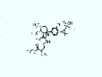 C=C(CCNC(=O)NC1(c2ccc(C3C(C(C)(C)C)C3(F)F)c(Cl)c2)CC[C@H](C)[C@@H](C)C1CO)C(=O)OC